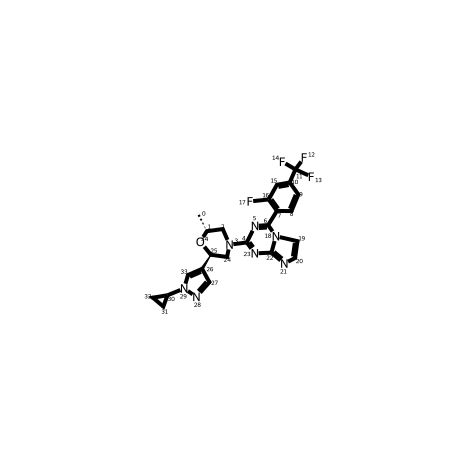 C[C@@H]1CN(c2nc(-c3ccc(C(F)(F)F)cc3F)n3ccnc3n2)C[C@@H](c2cnn(C3CC3)c2)O1